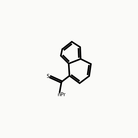 CCCC(=S)c1cccc2ccccc12